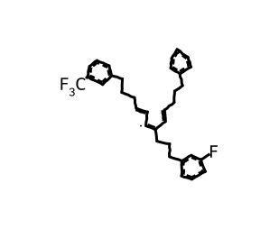 Fc1cccc(CCCC(=[C]C=CCCCc2cccc(C(F)(F)F)c2)C=CCCCc2ccccc2)c1